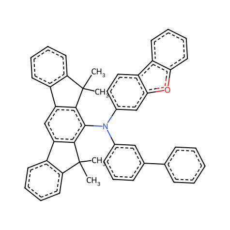 CC1(C)c2ccccc2-c2cc3c(c(N(c4cccc(-c5ccccc5)c4)c4ccc5c(c4)oc4ccccc45)c21)C(C)(C)c1ccccc1-3